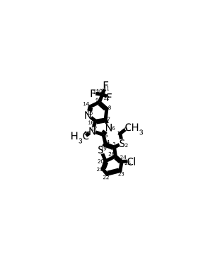 CCSc1c(-c2nc3cc(C(F)(F)F)cnc3n2C)sc2cccc(Cl)c12